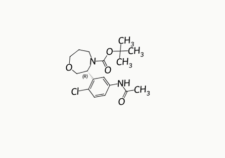 CC(=O)Nc1ccc(Cl)c([C@@H]2COCCCN2C(=O)OC(C)(C)C)c1